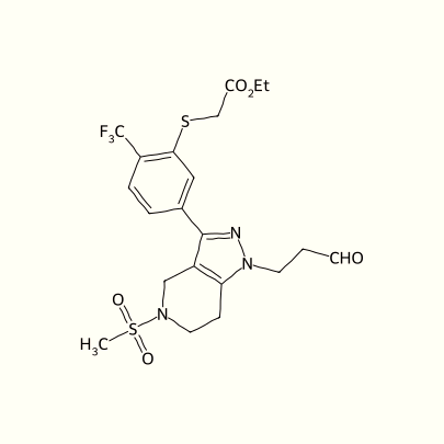 CCOC(=O)CSc1cc(-c2nn(CCC=O)c3c2CN(S(C)(=O)=O)CC3)ccc1C(F)(F)F